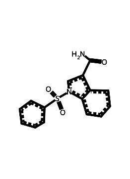 NC(=O)c1cn(S(=O)(=O)c2ccccc2)c2ccccc12